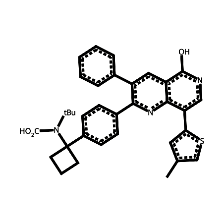 Cc1csc(-c2cnc(O)c3cc(-c4ccccc4)c(-c4ccc(C5(N(C(=O)O)C(C)(C)C)CCC5)cc4)nc23)c1